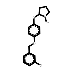 CCN1CCCC1Oc1ccc(OCc2cccc(Cl)c2)cc1